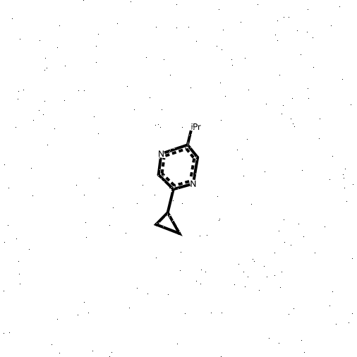 CC(C)c1cnc(C2CC2)cn1